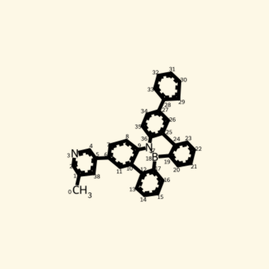 Cc1cncc(-c2ccc3c(c2)-c2ccccc2B2c4ccccc4-c4cc(-c5ccccc5)ccc4N23)c1